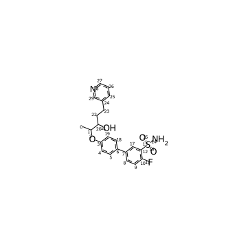 CC(Oc1ccc(-c2ccc(F)c(S(N)(=O)=O)c2)cc1)C(O)CCc1cccnc1